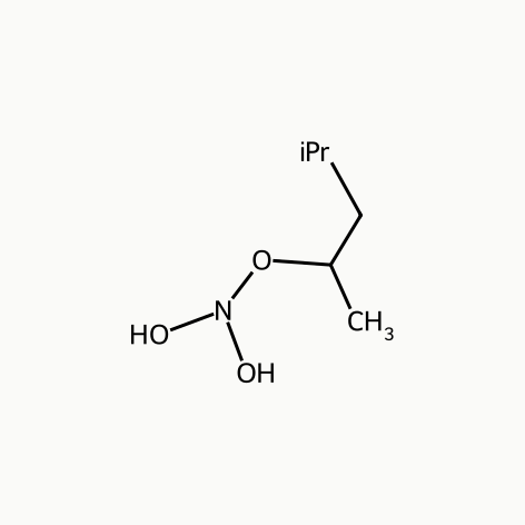 CC(C)CC(C)ON(O)O